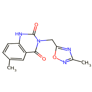 Cc1ccc2[nH]c(=O)n(Cc3nc(C)no3)c(=O)c2c1